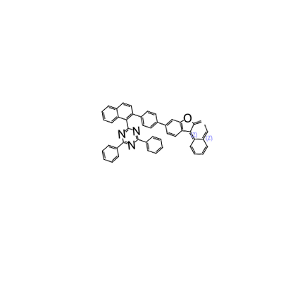 C=c1oc2cc(-c3ccc(-c4ccc5ccccc5c4-c4nc(-c5ccccc5)nc(-c5ccccc5)n4)cc3)ccc2/c1=c1\cccc\c1=C\C